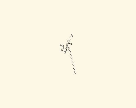 CCCCCCCCCCCCCc1cn(OC(=O)OCCOC)c(C(=O)OCC)c1Cl